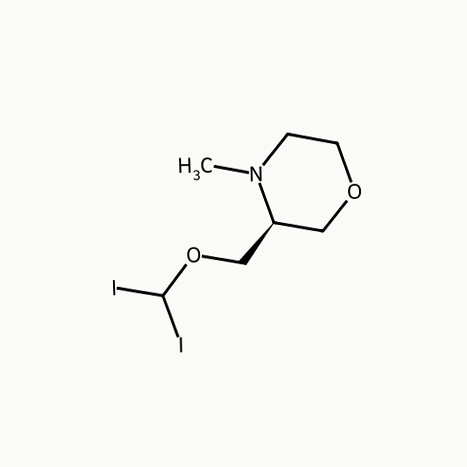 CN1CCOC[C@H]1COC(I)I